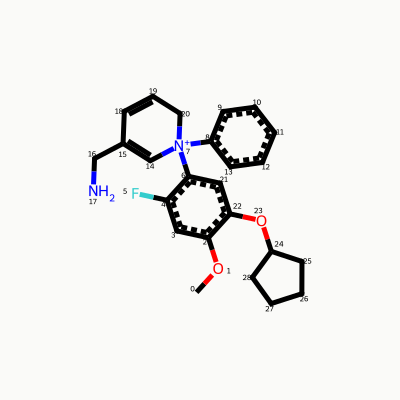 COc1cc(F)c([N+]2(c3ccccc3)C=C(CN)C=CC2)cc1OC1CCCC1